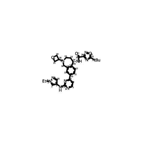 CCn1cc(Nc2nccc(-c3ccc4c(c3)CN(C3COC3)CC[C@@H]4NC(=O)c3noc(C(C)(C)C)n3)n2)cn1